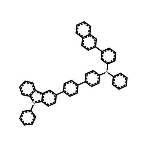 c1ccc(N(c2ccc(-c3ccc(-c4ccc5c(c4)c4ccccc4n5-c4ccccc4)cc3)cc2)c2cccc(-c3ccc4ccccc4c3)c2)cc1